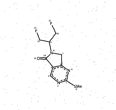 CSc1ncc2c(n1)CN(C(CF)CF)C2=O